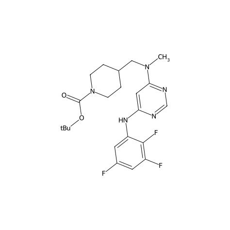 CN(CC1CCN(C(=O)OC(C)(C)C)CC1)c1cc(Nc2cc(F)cc(F)c2F)ncn1